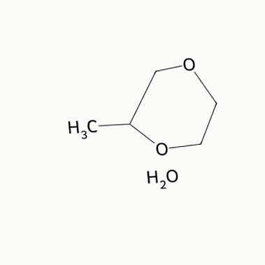 CC1COCCO1.O